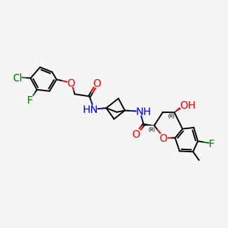 Cc1cc2c(cc1F)[C@H](O)C[C@H](C(=O)NC13CC(NC(=O)COc4ccc(Cl)c(F)c4)(C1)C3)O2